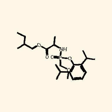 CCC(C)COC(=O)C(C)NP(=O)(COC)Oc1c(C(C)C)cccc1C(C)C